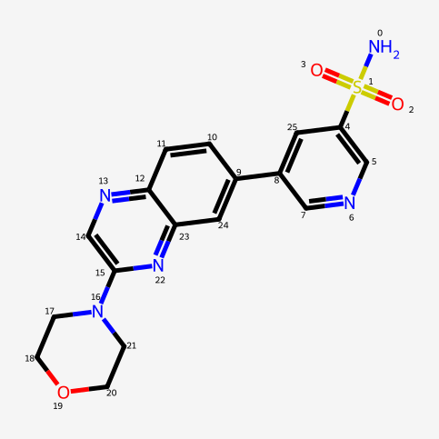 NS(=O)(=O)c1cncc(-c2ccc3ncc(N4CCOCC4)nc3c2)c1